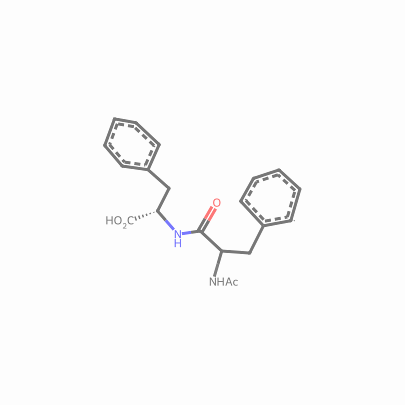 CC(=O)NC(Cc1[c]cccc1)C(=O)N[C@@H](Cc1ccccc1)C(=O)O